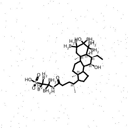 BC1(B)C[C@]2(C)C3CC[C@@]4(C)C(CCC4[C@H](C)CCC(=O)NC(B)(B)C(B)(B)S(=O)(=O)O)C3[C@H](O)[C@H](CC)[C@@H]2C(B)(B)C1(B)O